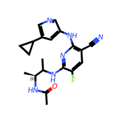 CC(=O)N[C@@H](C)C(C)Nc1nc(Nc2cncc(C3CC3)c2)c(C#N)cc1F